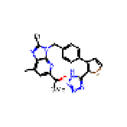 CCc1nc2c(C)cc(C(=O)OC)nc2n1Cc1ccc(-c2ccsc2-c2nnn[nH]2)cc1